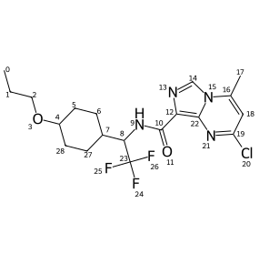 CCCOC1CCC(C(NC(=O)c2ncn3c(C)cc(Cl)nc23)C(F)(F)F)CC1